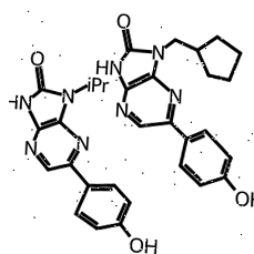 CC(C)n1c(=O)[nH]c2ncc(-c3ccc(O)cc3)nc21.O=c1[nH]c2ncc(-c3ccc(O)cc3)nc2n1CC1CCCC1